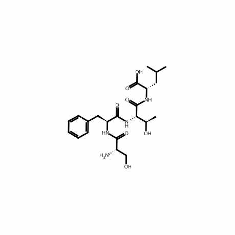 CC(C)C[C@H](NC(=O)[C@@H](NC(=O)[C@H](Cc1ccccc1)NC(=O)[C@@H](N)CO)[C@@H](C)O)C(=O)O